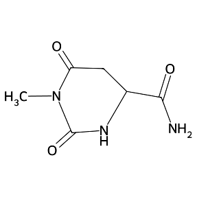 CN1C(=O)CC(C(N)=O)NC1=O